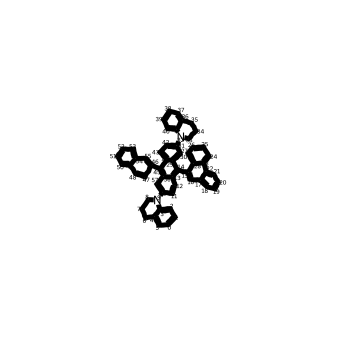 c1ccc2c(c1)CCCN2c1ccc2c(-c3cc4ccccc4c4ccccc34)c3cc(N4CCCc5ccccc54)ccc3c(-c3ccc4ccccc4c3)c2c1